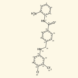 Nc1ccccc1NC(=O)c1ccc(CNc2ccc(Cl)c(C(F)(F)F)c2)cc1